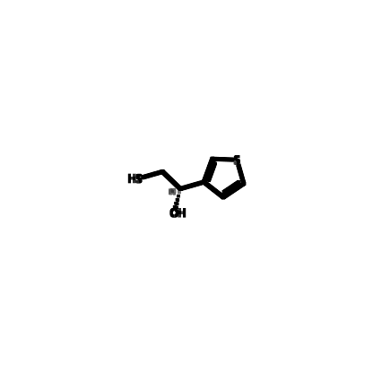 O[C@H](CS)c1ccsc1